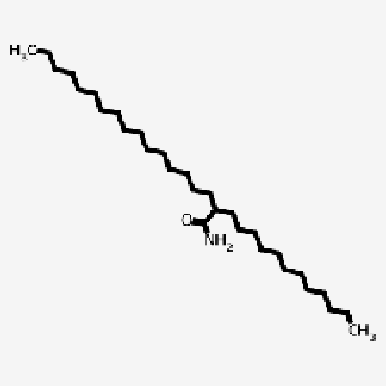 CCCCCCCCCCCCCCCCC(CCCCCCCCCCCC)C(N)=O